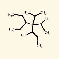 CCC(C)[Si](C(C)C)(N(C)C)N(CC)CC